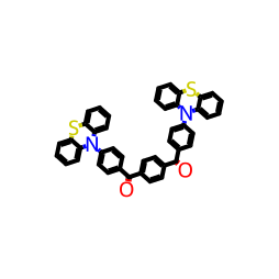 O=C(c1ccc(C(=O)c2ccc(N3c4ccccc4Sc4ccccc43)cc2)cc1)c1ccc(N2c3ccccc3Sc3ccccc32)cc1